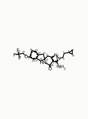 Nc1c2c(nn1CCC1CC1)CC1(Cc3ccc(OCC(F)(F)F)cc3C1)NC2=O